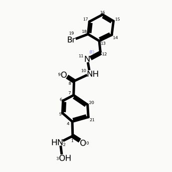 O=C(NO)c1ccc(C(=O)N/N=C/c2ccccc2Br)cc1